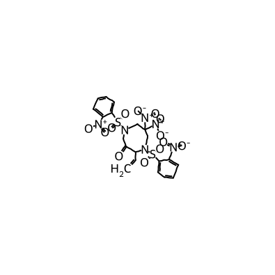 C=CC1C(=O)CN(S(=O)(=O)c2ccccc2[N+](=O)[O-])CC([N+](=O)[O-])([N+](=O)[O-])CN1S(=O)(=O)c1ccccc1[N+](=O)[O-]